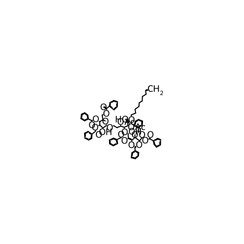 C=CCCCCCCCCOC(O)C(OC(C)=O)C(OC(O)/C(OC(=O)c1ccccc1)=C(/OC(=O)c1ccccc1)C(CCOC(=O)c1ccccc1)OC(=O)c1ccccc1)C(CCOC1OC(COC(=O)c2ccccc2)C(OC(=O)c2ccccc2)C(OC(=O)c2ccccc2)C1O)OC(C)=O